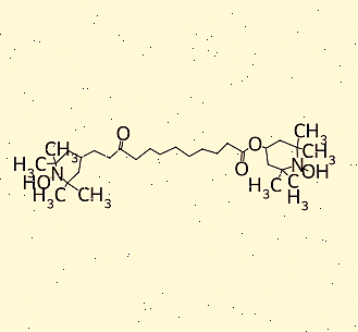 CC1(C)CC(CCC(=O)CCCCCCCCC(=O)OC2CC(C)(C)N(O)C(C)(C)C2)CC(C)(C)N1O